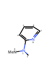 CNN(C)c1ccccn1